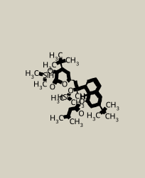 CC(C)CC(=O)O[C@H]1C[C@H](C(C)(C)C)C=C2C=CC[C@H]([C@](C)(C[C@H]3C[C@H](C(C)(C)C)C(O[SiH](C)C)C(=O)O3)O[SiH](C)C)[C@H]21